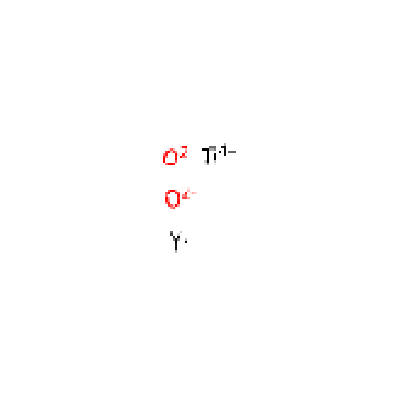 [O-2].[O-2].[Ti+4].[Y]